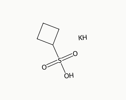 O=S(=O)(O)C1CCC1.[KH]